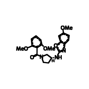 COc1ccc2nc(N[C@@H]3CCN(C(=O)c4c(OC)cccc4OC)C3)oc2c1